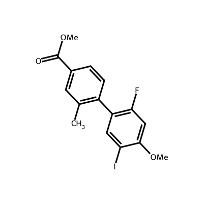 COC(=O)c1ccc(-c2cc(I)c(OC)cc2F)c(C)c1